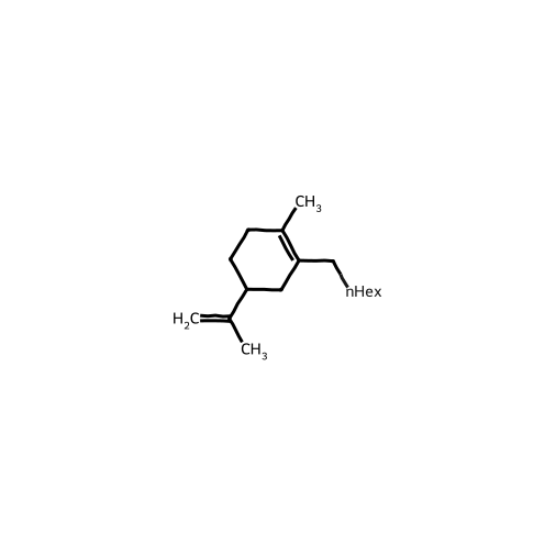 C=C(C)C1CCC(C)=C(CCCCCCC)C1